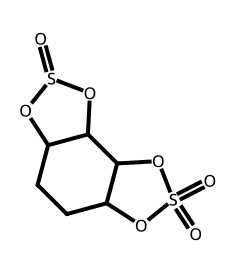 O=S1OC2CCC3OS(=O)(=O)OC3C2O1